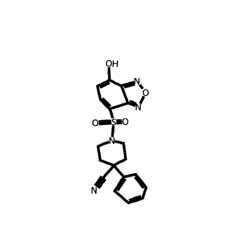 N#CC1(c2ccccc2)CCN(S(=O)(=O)c2ccc(O)c3nonc23)CC1